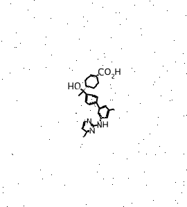 Cc1cc(Nc2nccc(C)n2)cc(-c2ccc(C(C)(O)[C@H]3CC[C@H](C(=O)O)CC3)cc2)c1